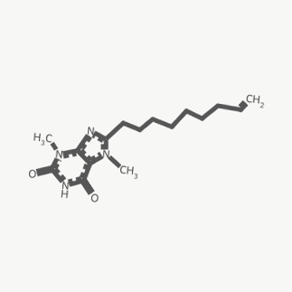 C=CCCCCCCCc1nc2c(c(=O)[nH]c(=O)n2C)n1C